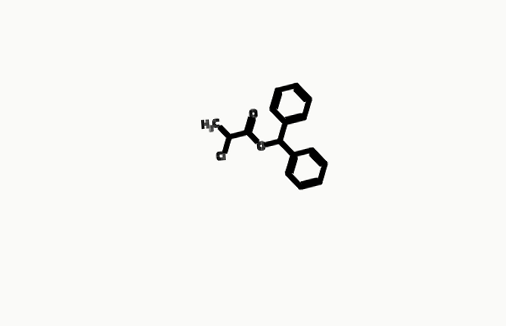 CC(Cl)C(=O)OC(c1ccccc1)c1ccccc1